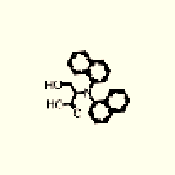 O=C(O)C(CO)N(c1cccc2ccccc12)c1cccc2ccccc12